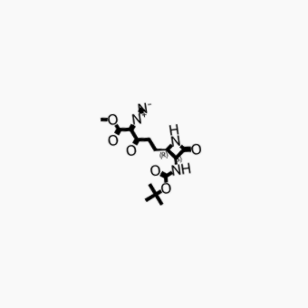 COC(=O)C(=[N+]=[N-])C(=O)CC[C@H]1NC(=O)[C@H]1NC(=O)OC(C)(C)C